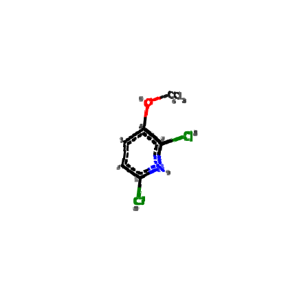 Clc1ccc(OC(Cl)(Cl)Cl)c(Cl)n1